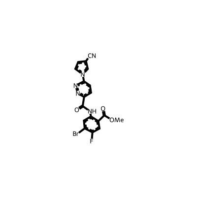 COC(=O)c1cc(F)c(Br)cc1NC(=O)c1ccc(-n2ccc(C#N)c2)nn1